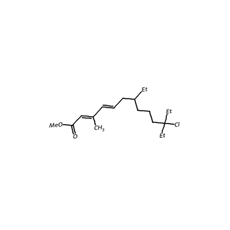 CCC(C/C=C/C(C)=C/C(=O)OC)CCCC(Cl)(CC)CC